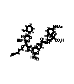 C#CCCCON(C(=O)[C@@H](NC(=O)[C@H]1CCCCN1C)[C@@H](C)CC)[C@H](C[C@@H](OC(=O)NCC)c1nc(C(=O)N[C@@H](Cc2ccc(NC(C)=O)cc2)CC(C)(C)C(=O)O)cs1)C(C)C